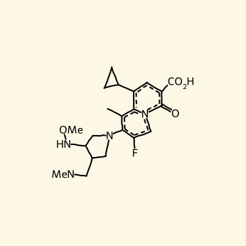 CNCC1CN(c2c(F)cn3c(=O)c(C(=O)O)cc(C4CC4)c3c2C)CC1NOC